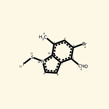 Cc1cc(Br)c(C=O)c2ccn(SI)c12